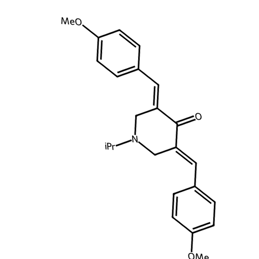 COc1ccc(/C=C2\CN(C(C)C)C/C(=C\c3ccc(OC)cc3)C2=O)cc1